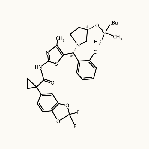 Cc1nc(NC(=O)C2(c3ccc4c(c3)OC(F)(F)O4)CC2)sc1[C@@H](c1ccccc1Cl)N1CC[C@H](O[Si](C)(C)C(C)(C)C)C1